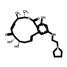 C[C@@H]1/C=C\C(=O)[C@@H](O)[C@@H](O)C/C=C/c2cc(NCCN3CCCC3)cc(O)c2C(=O)O[C@H]1C